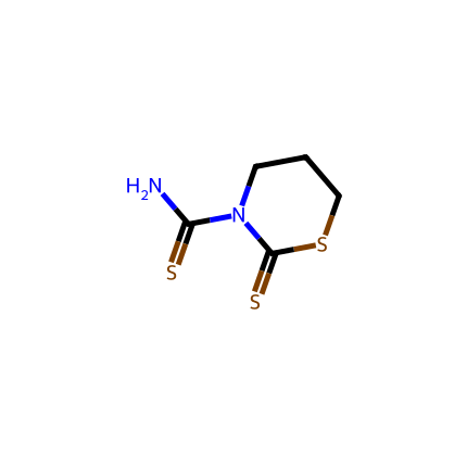 NC(=S)N1CCCSC1=S